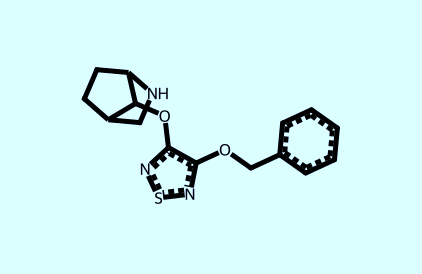 c1ccc(COc2nsnc2OC2C3CCC2NC3)cc1